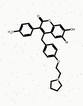 Cc1ccc(-c2c(Cc3ccc(OCCN4CCCC4)cc3)c3cc(Br)c(O)cc3oc2=O)cc1